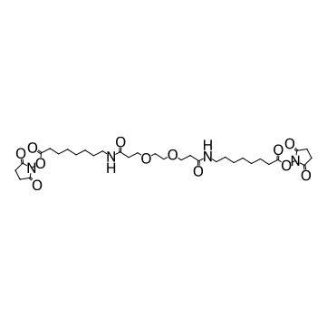 O=C(CCOCCOCCC(=O)NCCCCCCCC(=O)ON1C(=O)CCC1=O)NCCCCCCCC(=O)ON1C(=O)CCC1=O